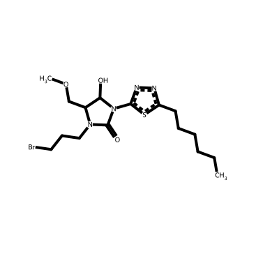 CCCCCCc1nnc(N2C(=O)N(CCCBr)C(COC)C2O)s1